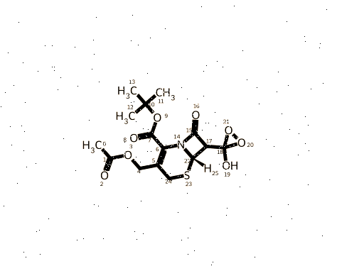 CC(=O)OCC1=C(C(=O)OC(C)(C)C)N2C(=O)C(C3(O)OO3)[C@@H]2SC1